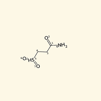 NC(=O)CC[SH](=O)=O